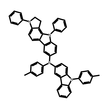 Cc1ccc(N(c2ccc3c(c2)c2ccccc2n3-c2ccc(C)cc2)c2ccc3c(c2)c2ccc4c(c2n3-c2ccccc2)CCN4c2ccccc2)cc1